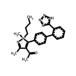 CCCC[N+]1(C)N=C(C)C(C(C)=O)=C1c1ccc(-c2ccccc2-c2nnn[nH]2)cc1